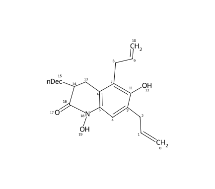 C=CCc1cc2c(c(CC=C)c1O)CC(CCCCCCCCCC)C(=O)N2O